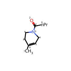 CCCC(=O)N1CC=C(C)CC1